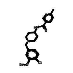 CCOc1cc(CN2CCC(NC(=O)c3ccc(C)nc3)CC2)ccc1Cl